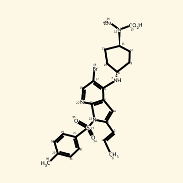 C/C=C/c1cc2c(N[C@H]3CC[C@H](N(C(=O)O)C(C)(C)C)CC3)c(Br)cnc2n1S(=O)(=O)c1ccc(C)cc1